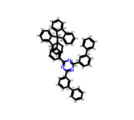 C1=CCC2(c3cccc(-c4nc(-c5cccc(-c6ccccc6)c5)nc(-c5cccc(-c6ccccc6)c5)n4)c3)C(=C1)c1ccccc1C21c2ccccc2-c2ccccc21